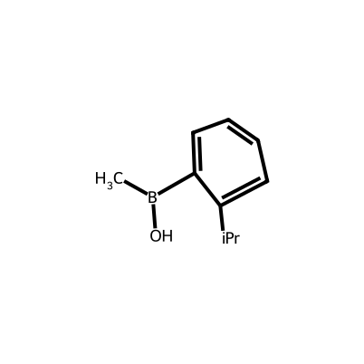 CB(O)c1ccccc1C(C)C